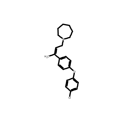 CC(=CCN1CCCCCC1)c1ccc(Oc2ccc(Cl)cc2)cc1